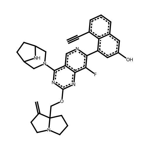 C#Cc1cccc2cc(O)cc(-c3ncc4c(N5CC6CCC(C5)N6)nc(OCC56CCCN5CCC6=C)nc4c3F)c12